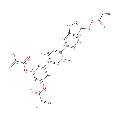 C=CC(=O)OCC1CCc2cc(-c3cc(C)c(-c4cc(OC(=O)C(=C)C)cc(OC(=O)C(=C)C)c4)cc3C)ccc21